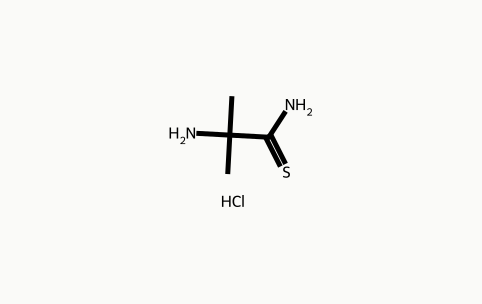 CC(C)(N)C(N)=S.Cl